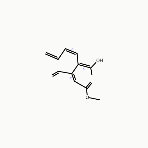 C=C\C=C/C(C(/C=C)=C\C(=C)OC)=C(/C)O